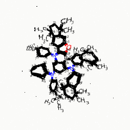 CC(C)(C)c1ccc(N2c3cc(N(c4ccccc4)c4ccc([Si](C)(C)C)cc4)cc4c3B(c3cc5c(cc3N4c3ccc4c(c3)C(C)(C)CCC4(C)C)C(C)(C)CCC5(C)C)c3oc4cc5c(cc4c32)C(C)(C)CCC5(C)C)cc1